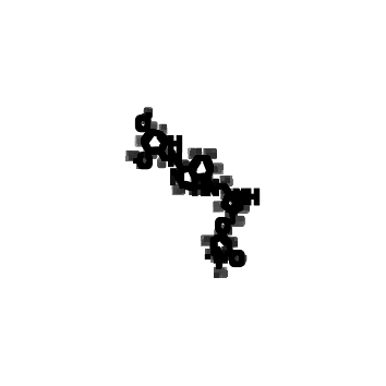 COc1ccc(CNc2nccc3c(NCC45CC(COc6ccn(C)c(=O)c6)(CN4)C5)cccc23)c(OC)c1